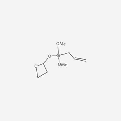 C=CC[Si](OC)(OC)OC1CCO1